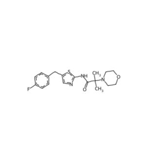 CC(C)(C(=O)Nc1ncc(Cc2ccc(F)cc2)s1)N1CCOCC1